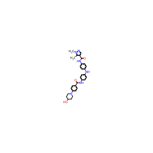 Cc1c(C(=O)Nc2ccc(Nc3ccc(NC(=O)c4ccc(N5CCC(O)CC5)cc4)cc3)cc2)cnn1C